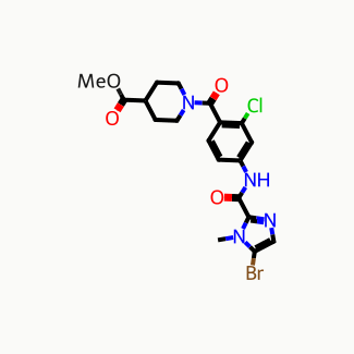 COC(=O)C1CCN(C(=O)c2ccc(NC(=O)c3ncc(Br)n3C)cc2Cl)CC1